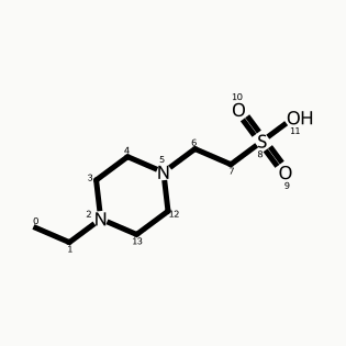 CCN1CCN(CCS(=O)(=O)O)CC1